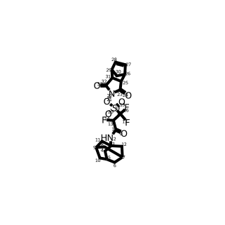 O=C(NC12CC3CC(CC(C3)C1)C2)C(F)C(F)(F)S(=O)(=O)ON1C(=O)C2C3C=CC(C3)C2C1=O